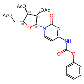 CC(=O)OC[C@H]1O[C@@H](n2ccc(NC(=O)Oc3ccccc3)nc2=O)[C@H](OC(C)=O)[C@@H]1OC(C)=O